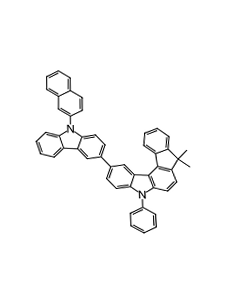 CC1(C)c2ccccc2-c2c1ccc1c2c2cc(-c3ccc4c(c3)c3ccccc3n4-c3ccc4ccccc4c3)ccc2n1-c1ccccc1